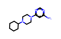 Nc1cc(N2CCN(C3CCCCC3)CC2)ncn1